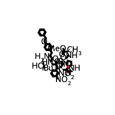 CC[C@H](C)[C@H](NC(=O)[C@@H](N)Cc1ccc(OCc2ccccc2)cc1)C(=O)N(c1cccc([N+](=O)[O-])c1[N+](=O)[O-])[C@@H](Cc1c[nH]cn1)C(=O)N1CCC[C@H]1C(=O)N[C@@H](C)C(=O)OC.Cl